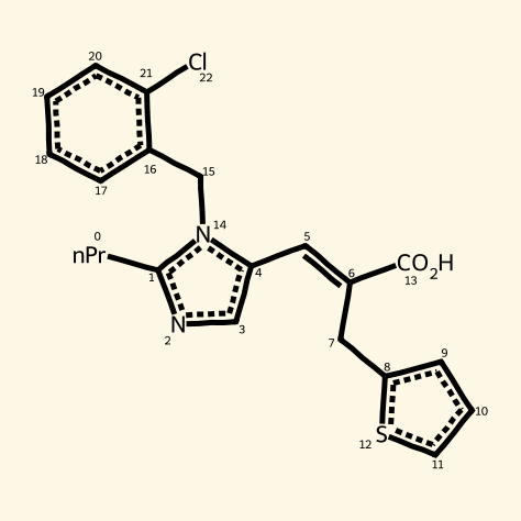 CCCc1ncc(C=C(Cc2cccs2)C(=O)O)n1Cc1ccccc1Cl